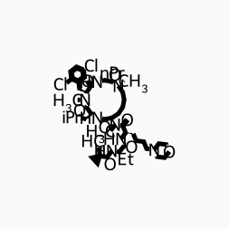 C#CC1(C(=O)N[C@@H](CC)C(=O)N[C@@H](CCCCN2CCOCC2)C(=O)N(C)[C@H]2CCCCN(C)C(=O)[C@@H](CCC)NC(=O)[C@H](Cc3cc(Cl)ccc3Cl)N(C)C(=O)[C@H](CC(C)C)NC2=O)CC1